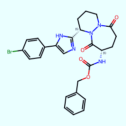 O=C(N[C@H]1CCC(=O)N2CCC[C@@H](c3ncc(-c4ccc(Br)cc4)[nH]3)N2C1=O)OCc1ccccc1